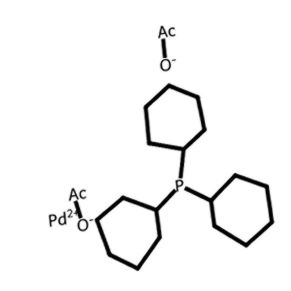 C1CCC(P(C2CCCCC2)C2CCCCC2)CC1.CC(=O)[O-].CC(=O)[O-].[Pd+2]